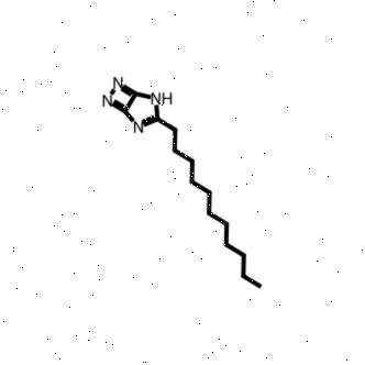 CCCCCCCCCCCc1nc2c([nH]1)=NN=2